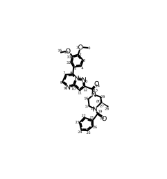 COc1ccc(-c2ccnc3cc(C(=O)N4CCN(C(=O)c5ccccc5)[C@H](C)C4)nn23)cc1OC